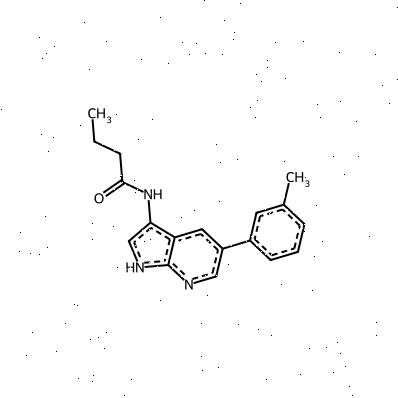 CCCC(=O)Nc1c[nH]c2ncc(-c3cccc(C)c3)cc12